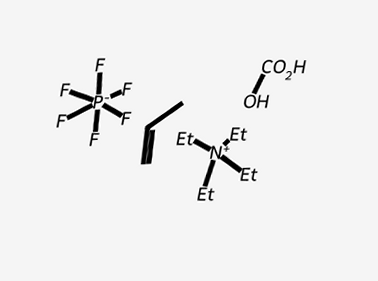 C=CC.CC[N+](CC)(CC)CC.F[P-](F)(F)(F)(F)F.O=C(O)O